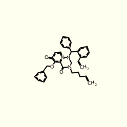 C=CCCCN1CN(C(c2ccccc2)c2ccccc2C=C)n2ccc(=O)c(OCc3ccccc3)c2C1=O